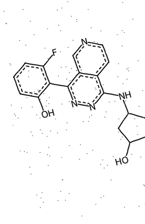 Oc1cccc(F)c1-c1nnc(NC2CCC(O)C2)c2ccncc12